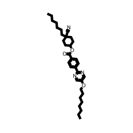 CCCCCCCCOc1cnc(-c2ccc(C(=O)OC3CCC(C#N)(CCCCCCC)CC3)cc2)nc1